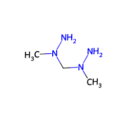 CN(N)CN(C)N